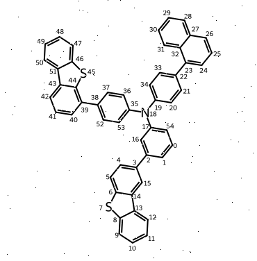 c1cc(-c2ccc3sc4ccccc4c3c2)cc(N(c2ccc(-c3cccc4ccccc34)cc2)c2ccc(-c3cccc4c3sc3ccccc34)cc2)c1